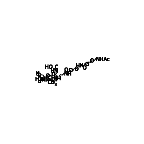 CC(=O)NCCOCCOCC(=O)NCCOCCOCC(=O)NCCCC[C@H](NCC(=O)C(C)(C)NC(=O)[C@@H](N)Cc1cnc[nH]1)C(=O)CNCC(=O)O